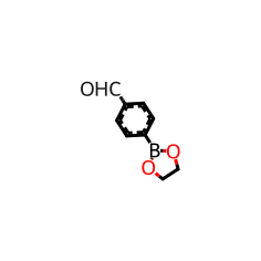 O=Cc1ccc(B2OCCO2)cc1